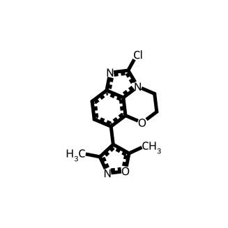 Cc1noc(C)c1-c1ccc2nc(Cl)n3c2c1OCC3